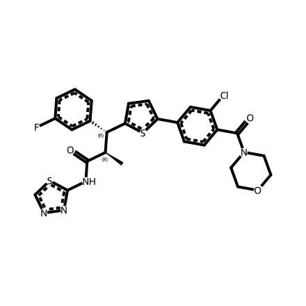 C[C@@H](C(=O)Nc1nncs1)[C@H](c1cccc(F)c1)c1ccc(-c2ccc(C(=O)N3CCOCC3)c(Cl)c2)s1